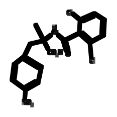 CC(Cc1ccc([N+](=O)[O-])cc1)([AsH]C(=O)c1c(Cl)cccc1Cl)C(=O)O